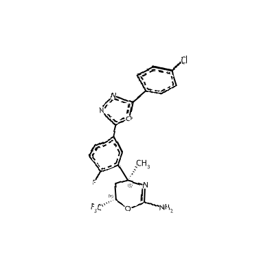 C[C@@]1(c2cc(-c3nnc(-c4ccc(Cl)cc4)o3)ccc2F)C[C@@H](C(F)(F)F)OC(N)=N1